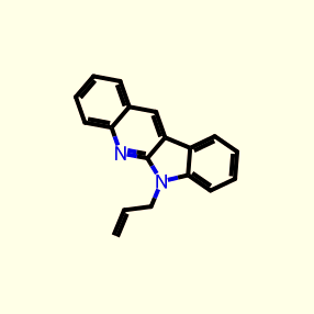 C=CCn1c2ccccc2c2cc3ccccc3nc21